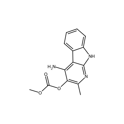 COC(=O)Oc1c(C)nc2[nH]c3ccccc3c2c1N